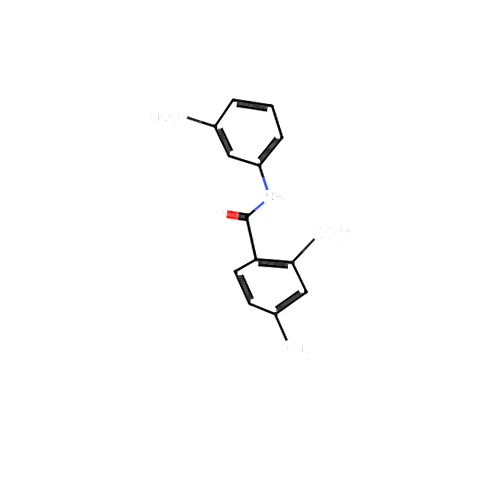 Cc1ccc(C(=O)Nc2cccc(C(=O)O)c2)c(C(=O)O)c1